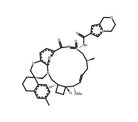 CO[C@H]1/C=C/C[C@H](C)C[S@@](=O)(NC(=O)c2cc3n(c2)CCOC3)=NC(=O)c2ccc3c(n2)N(C[C@@H]2CC[C@H]21)C[C@@]1(CCCc2cc(C)ccc21)CO3